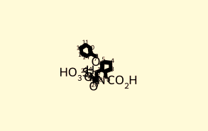 O=C(O)[C@H]1c2cccc(OCc3ccccc3)c2[C@H]2CN1C(=O)N2OS(=O)(=O)O